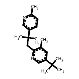 Cc1ccc(C(C)(C)Cc2ncc(C(C)(C)C)cc2C)cn1